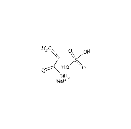 C=CC(N)=O.O=S(=O)(O)O.[NaH]